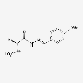 COc1ccc(C=NNC(=O)[C@@H](NC(=O)O)C(C)(C)C)cc1